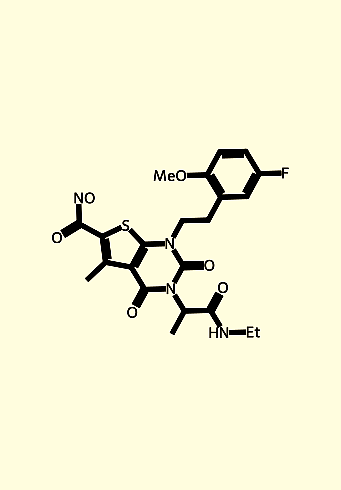 CCNC(=O)C(C)n1c(=O)c2c(C)c(C(=O)N=O)sc2n(CCc2cc(F)ccc2OC)c1=O